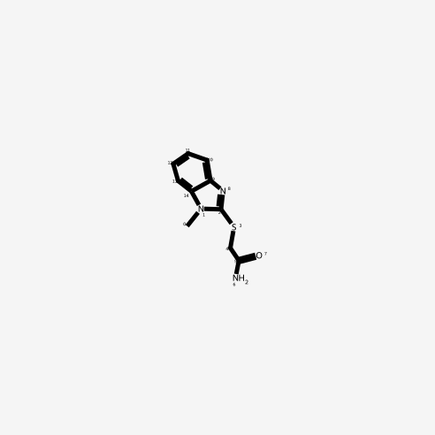 Cn1c(SCC(N)=O)nc2ccccc21